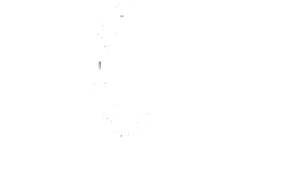 Cc1ccc(S(=O)(=O)N2CCC[C@H]2C(=O)NC(Cc2ccc(C#CCNC3=NC(=O)C(c4ccccc4)O3)cc2)C(=O)O)cc1